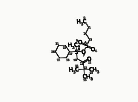 CCCCS(=O)(=O)OS(C)(CC(=O)C(C)(C)C)C1CCCCC1